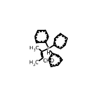 CC(C=O)=C(C)[PH](c1ccccc1)(c1ccccc1)c1ccccc1